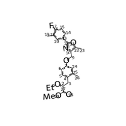 CCOC(Cc1ccc(OCc2nc(-c3ccc(F)c(C)c3)oc2C)cc1C)C(=O)OC